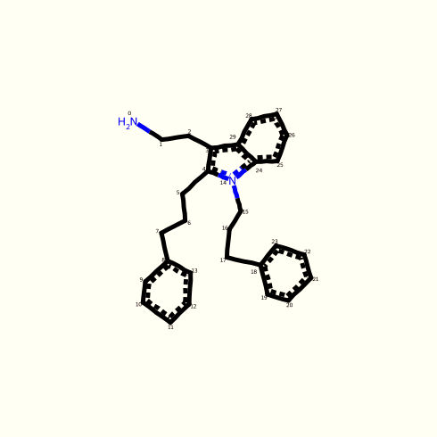 NCCc1c(CCCc2ccccc2)n(CCCc2ccccc2)c2ccccc12